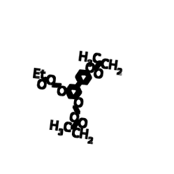 C=C(C)C(=O)OCCOc1cc(OCCOC(=O)CC)cc(-c2ccc(OC(=O)C(=C)C)cc2)c1